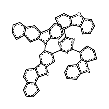 c1ccc2cc3c(cc2c1)c1ccccc1n3-c1cc2c(cc1-c1nc(-c3cccc4oc5ccccc5c34)nc(-c3cccc4sc5ccccc5c34)n1)oc1c3ccccc3ccc21